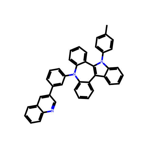 Cc1ccc(-n2c3c(c4ccccc42)-c2ccccc2N(c2cccc(-c4cnc5ccccc5c4)c2)c2ccccc2-3)cc1